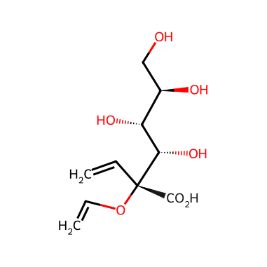 C=CO[C@@](C=C)(C(=O)O)[C@@H](O)[C@H](O)[C@H](O)CO